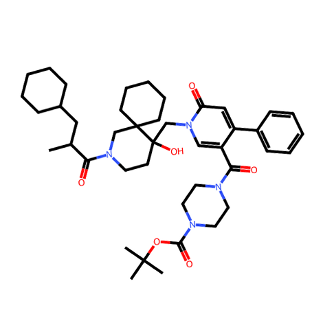 CC(CC1CCCCC1)C(=O)N1CCC(O)(Cn2cc(C(=O)N3CCN(C(=O)OC(C)(C)C)CC3)c(-c3ccccc3)cc2=O)C2(CCCCC2)C1